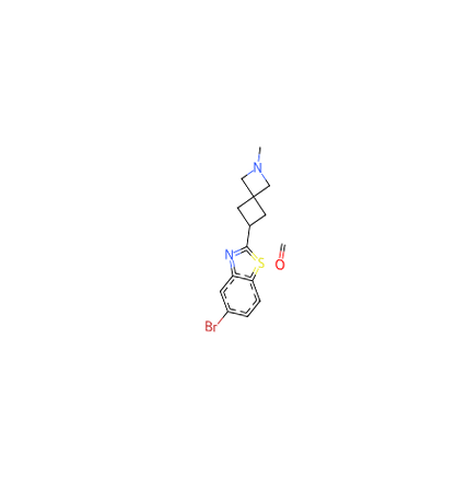 C=O.CN1CC2(CC(c3nc4cc(Br)ccc4s3)C2)C1